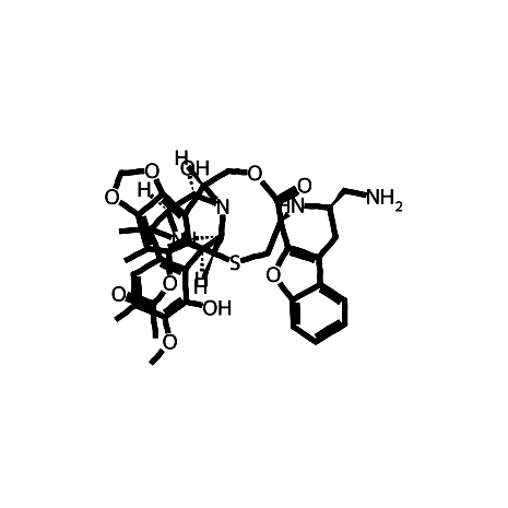 COc1c(C)cc2c(c1O)[C@@H]1[C@@H]3[C@@H]4SC[C@]5(N[C@@H](CN)Cc6c5oc5ccccc65)C(=O)OC[C@@H](c5c6c(c(C)c(OC(C)=O)c54)OCO6)N3[C@@H](O)[C@H]3N1C23C